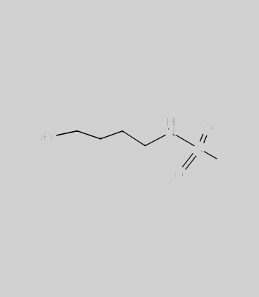 CC(C)CCCCNS(C)(=O)=O